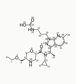 CCOC[C@H]1CO[C@@H](C(=O)N(C2CC2)[C@H](C)c2nn(CCCNC(=O)O)c3nc(C)ccc23)CN1